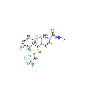 NC(=O)c1ccc(C(SCCC(F)(F)Cl)c2c(F)ccc(F)c2F)cn1